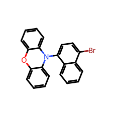 Brc1ccc(N2c3ccccc3Oc3ccccc32)c2ccccc12